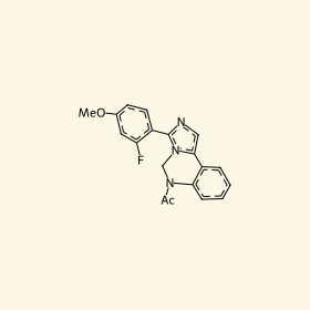 COc1ccc(-c2ncc3n2CN(C(C)=O)c2ccccc2-3)c(F)c1